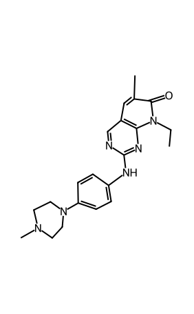 CCn1c(=O)c(C)cc2cnc(Nc3ccc(N4CCN(C)CC4)cc3)nc21